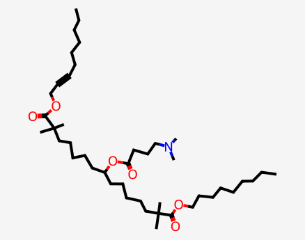 CCCCCCC#CCOC(=O)C(C)(C)CCCCCC(CCCCCC(C)(C)C(=O)OCCCCCCCCC)OC(=O)CCCN(C)C